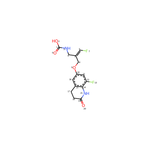 O=C(O)NC/C(=C/F)COc1cc(F)c2c(c1)CCC(=O)N2